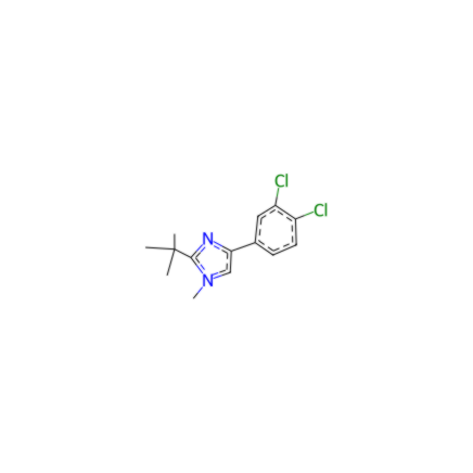 Cn1cc(-c2ccc(Cl)c(Cl)c2)nc1C(C)(C)C